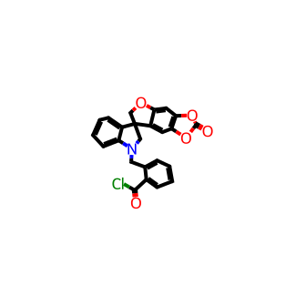 O=C(Cl)c1ccccc1CN1CC2(COc3cc4oc(=O)oc4cc32)c2ccccc21